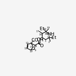 CCC1(C)CC(OC(=O)C2CC3C=CC2(C(=O)O)C3)C(C)C(C)(CC)N1